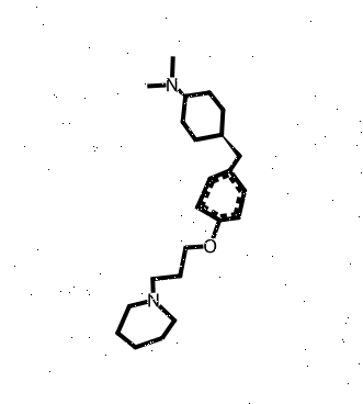 CN(C)[C@H]1CC[C@@H](Cc2ccc(OCCCN3CCCCC3)cc2)CC1